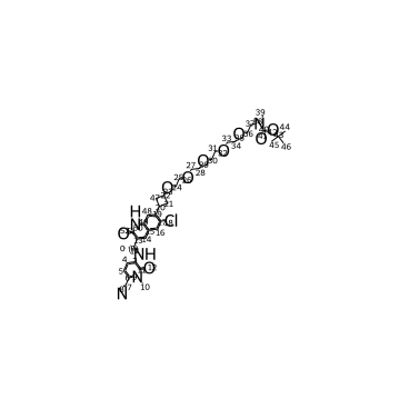 C[C@@H](Nc1ccc(C#N)n(C)c1=O)c1cc2cc(Cl)c(C3CC(OCCOCCOCCOCCOCCN(C)C(=O)OC(C)(C)C)C3)cc2[nH]c1=O